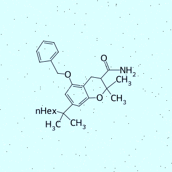 CCCCCCC(C)(C)c1cc(OCc2ccccc2)c2c(c1)OC(C)(C)C(C(N)=O)C2